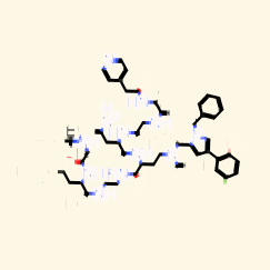 Bc1ccc(F)cc1-c1cc(C(N(CCC(NC(=C)C(CC(=C)N)NC(=C)CNC(=C)[C@H](C)NC(=O)Cc2ccncc2)C(=O)NCCNC(=C)C(CCC(=O)O)NC(=O)CNC(C)(C)CC)C(=C)C)C(C)(C)C)n(Cc2ccccc2)c1